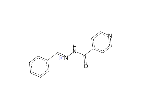 O=C(N/N=C/c1ccccc1)c1ccncc1